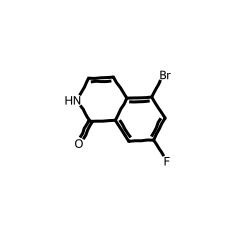 O=c1[nH]ccc2c(Br)cc(F)cc12